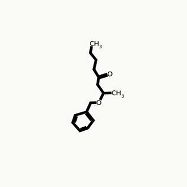 CCCCC(=O)CC(C)OCc1ccccc1